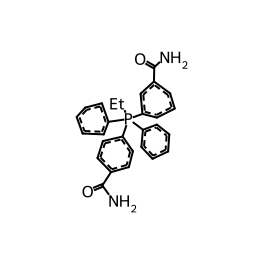 CCP(c1ccccc1)(c1ccccc1)(c1ccc(C(N)=O)cc1)c1cccc(C(N)=O)c1